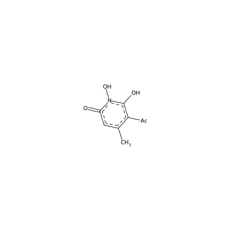 CC(=O)c1c(C)cc(=O)n(O)c1O